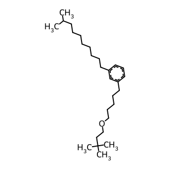 CC(C)CCCCCCCCc1cccc(CCCCCOCCC(C)(C)C)c1